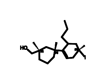 CCCC1C[C@@](C)(I)CC=C1[C@]1(C)CCC[C@@](C)(CO)C1